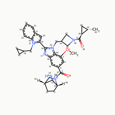 COc1cc(C(=O)N2C[C@H]3CC[C@@H]2[C@@H]3N)cc2nc(-c3cc4ccccc4n3CC3CC3)n(CC3CN(C(=O)[C@H]4C[C@@H]4C)C3)c12